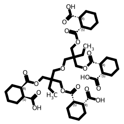 CCC(COCC(CC)(COC(=O)[C@H]1CCCC[C@H]1C(=O)O)COC(=O)[C@@H]1CCCC[C@@H]1C(=O)O)(COC(=O)[C@H]1CCCC[C@H]1C(=O)O)COC(=O)[C@@H]1CCCC[C@@H]1C(=O)O